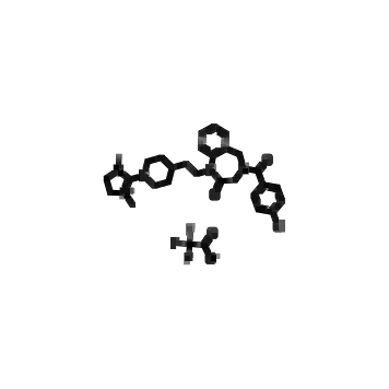 CN1CC[N+](C)=C1N1CCC(CCN2C(=O)CN(C(=O)c3ccc(Cl)cc3)Cc3ccccc32)CC1.O=C([O-])C(F)(F)F